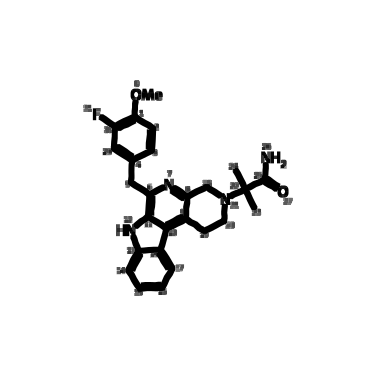 COc1ccc(Cc2nc3c(c4c2[nH]c2ccccc24)CCN(C(C)(C)C(N)=O)C3)cc1F